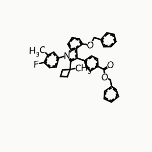 Cc1cc(-n2c(C3(C)CCC3)c(-c3ccc(C(=O)OCc4ccccc4)cc3)c3c(OCc4ccccc4)cccc32)ccc1F